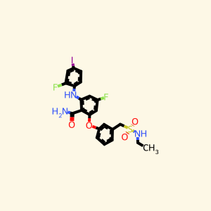 CCNS(=O)(=O)Cc1cccc(Oc2cc(F)cc(Nc3ccc(I)cc3F)c2C(N)=O)c1